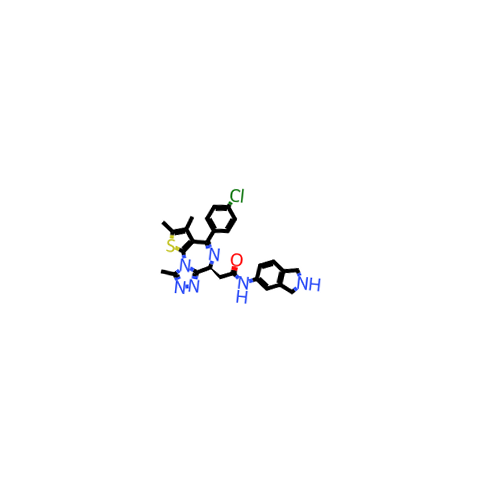 Cc1sc2c(c1C)C(c1ccc(Cl)cc1)=N[C@@H](CC(=O)Nc1ccc3c(c1)CNC3)c1nnc(C)n1-2